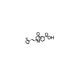 O=C(O)c1ccc2nc(C=Cc3cccs3)cc(=O)n2c1